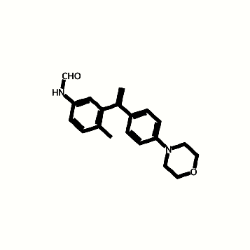 C=C(c1ccc(N2CCOCC2)cc1)c1cc(NC=O)ccc1C